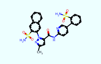 Cc1cc(C(=O)Nc2ccc(-c3ccccc3S(N)(=O)=O)cn2)n(-c2cc3ccccc3cc2S(N)(=O)=O)n1